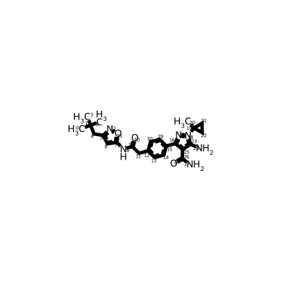 CC(C)(C)Cc1cc(NC(=O)Cc2ccc(-c3nn(C4(C)CC4)c(N)c3C(N)=O)cc2)on1